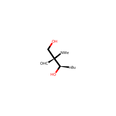 CCCC[C@@H](O)[C@](C=O)(CO)NC